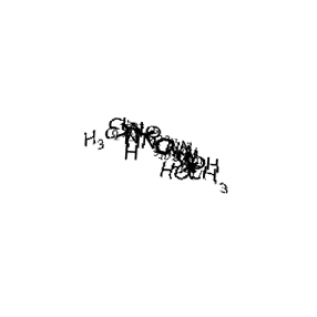 CCc1[nH]c(C(=O)NC2CCN(c3nnc(C(C)(O)O)s3)CC2)nc1Cl